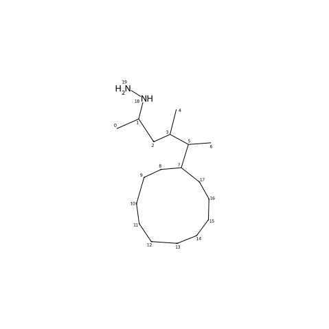 CC(CC(C)C(C)C1CCCCCCCCCC1)NN